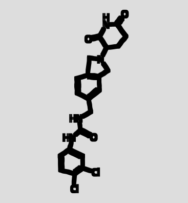 O=C1CCC(N2Cc3ccc(CNC(=O)Nc4ccc(Cl)c(Cl)c4)cc3C2)C(=O)N1